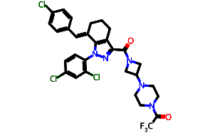 O=C(c1nn(-c2ccc(Cl)cc2Cl)c2c1CCCC2=Cc1ccc(Cl)cc1)N1CC(N2CCN(C(=O)C(F)(F)F)CC2)C1